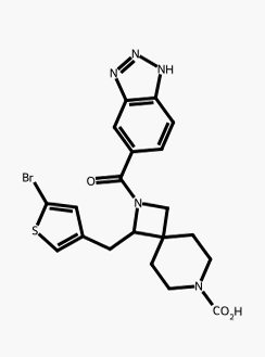 O=C(O)N1CCC2(CC1)CN(C(=O)c1ccc3[nH]nnc3c1)C2Cc1csc(Br)c1